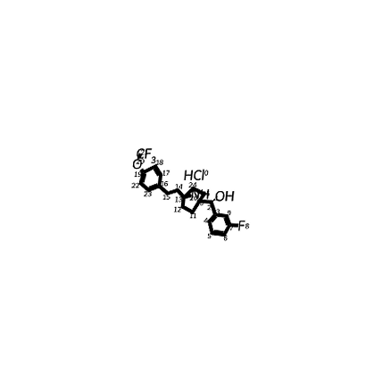 Cl.O[C@H](c1cccc(F)c1)C12CCC(CCc3ccc(OC(F)(F)F)cc3)(CC1)N2